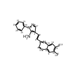 Nc1c(C=Cc2cnc3cc(F)c(F)cc3n2)cnn1-c1ccccc1